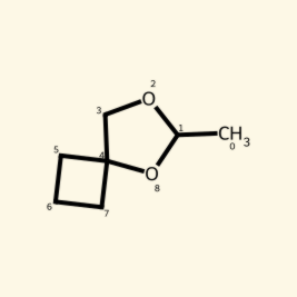 CC1OCC2(CCC2)O1